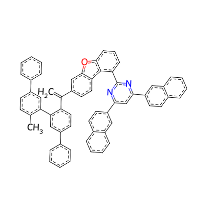 C=C(c1ccc2c(c1)oc1cccc(-c3nc(-c4ccc5ccccc5c4)cc(-c4ccc5ccccc5c4)n3)c12)c1ccc(-c2ccccc2)cc1-c1cc(-c2ccccc2)ccc1C